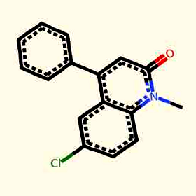 Cn1c(=O)cc(-c2ccccc2)c2cc(Cl)ccc21